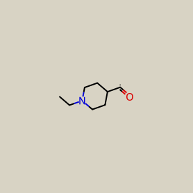 CCN1CCC([C]=O)CC1